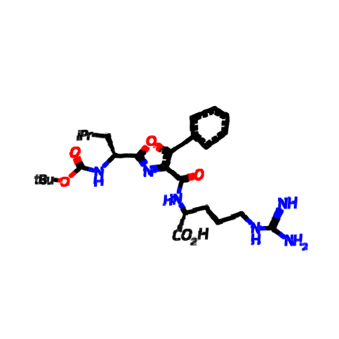 CC(C)C[C@H](NC(=O)OC(C)(C)C)c1nc(C(=O)N[C@@H](CCCNC(=N)N)C(=O)O)c(-c2ccccc2)o1